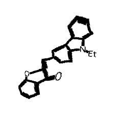 CCn1c2ccccc2c2cc(/C=C3/Oc4ccccc4C3=O)ccc21